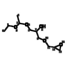 CCOC(C)OCC(O)COCC1CO1